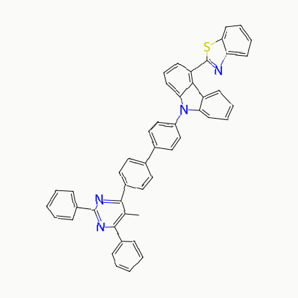 Cc1c(-c2ccccc2)nc(-c2ccccc2)nc1-c1ccc(-c2ccc(-n3c4ccccc4c4c(-c5nc6ccccc6s5)cccc43)cc2)cc1